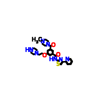 CN1CCN(C(=O)c2cc(OCCN3CCNCC3)cc(C(=O)Nc3nc(-c4ccccn4)cs3)c2)CC1